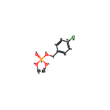 CCOP(=O)(OCC)OCc1ccc(Cl)cc1